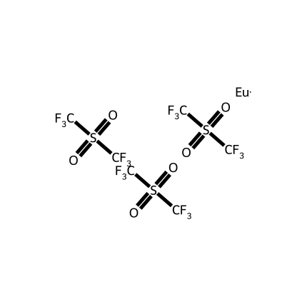 O=S(=O)(C(F)(F)F)C(F)(F)F.O=S(=O)(C(F)(F)F)C(F)(F)F.O=S(=O)(C(F)(F)F)C(F)(F)F.[Eu]